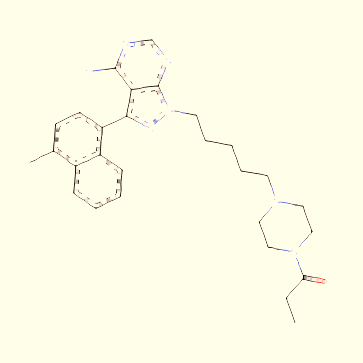 CCC(=O)N1CCN(CCCCCn2nc(-c3ccc(C)c4ccccc34)c3c(N)ncnc32)CC1